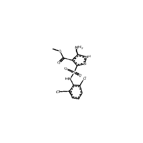 COC(=O)c1c(S(=O)(=O)Nc2c(Cl)cccc2Cl)n[nH]c1N